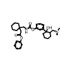 CN(C)CC1CCCCC1(O)c1cccc(OC(=O)NCC2(CC(=O)Oc3ccccc3)CCCCC2)c1